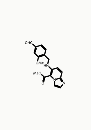 COC(=O)c1c(NCc2ccc(C=O)cc2OC)ccc2nccn12